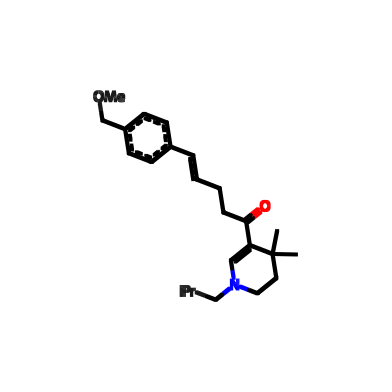 COCc1ccc(/C=C/CCC(=O)C2=CN(CC(C)C)CCC2(C)C)cc1